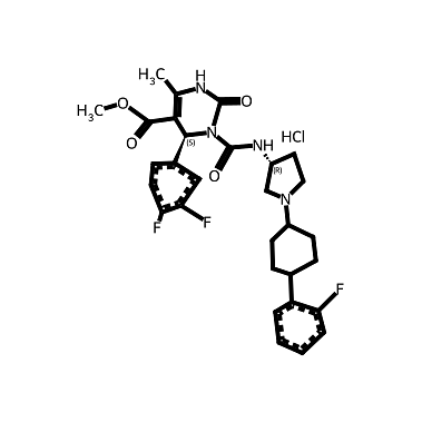 COC(=O)C1=C(C)NC(=O)N(C(=O)N[C@@H]2CCN(C3CCC(c4ccccc4F)CC3)C2)[C@H]1c1ccc(F)c(F)c1.Cl